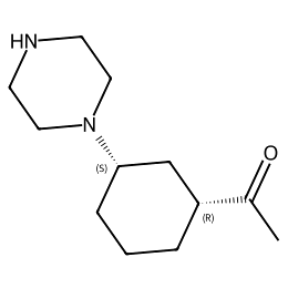 CC(=O)[C@@H]1CCC[C@H](N2CCNCC2)C1